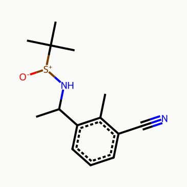 Cc1c(C#N)cccc1C(C)N[S+]([O-])C(C)(C)C